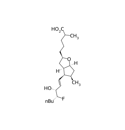 CCCC[C@@H](F)[C@H](O)/C=C/[C@H]1[C@H]2C[C@@H](CCCC(C)C(=O)O)O[C@H]2C[C@H]1C